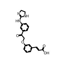 O=C(O)/C=C/c1cccc(OCC(=O)c2cccc(NC3=NCCN3)c2)c1